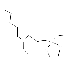 CCNCCN(CC)CCC[Si](OC)(OC)OC